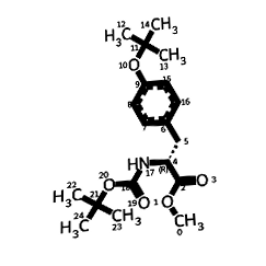 COC(=O)[C@@H](Cc1ccc(OC(C)(C)C)cc1)NC(=O)OC(C)(C)C